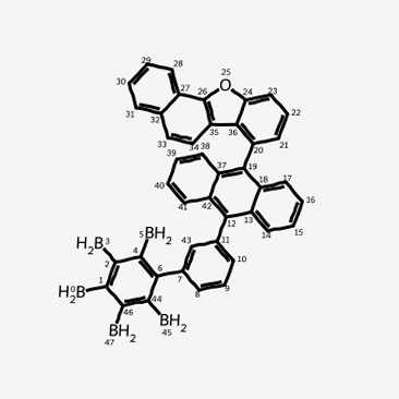 Bc1c(B)c(B)c(-c2cccc(-c3c4ccccc4c(-c4cccc5oc6c7ccccc7ccc6c45)c4ccccc34)c2)c(B)c1B